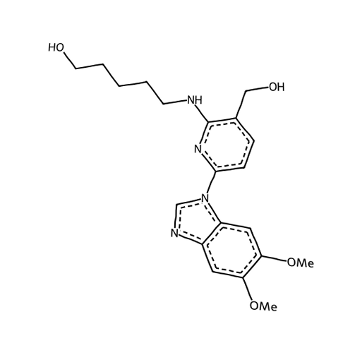 COc1cc2ncn(-c3ccc(CO)c(NCCCCCO)n3)c2cc1OC